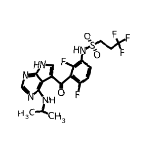 CC(C)Nc1ncnc2[nH]cc(C(=O)c3c(F)ccc(NS(=O)(=O)CCC(F)(F)F)c3F)c12